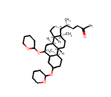 CC(C)C(=O)CC[C@@H](C)[C@H]1CC[C@H]2[C@@H]3CC(OC4CCCCO4)C4CC(OC5CCCCO5)CC[C@]4(C)[C@H]3CC[C@]12C